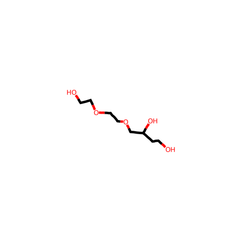 OCCOCCOCC(O)CCO